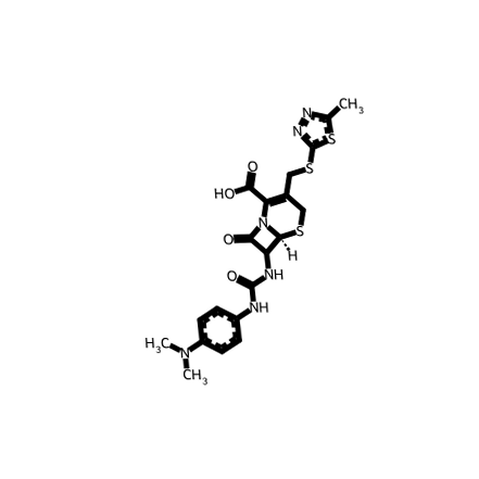 Cc1nnc(SCC2=C(C(=O)O)N3C(=O)C(NC(=O)Nc4ccc(N(C)C)cc4)[C@@H]3SC2)s1